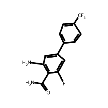 NC(=O)c1c(N)cc(-c2ccc(C(F)(F)F)cc2)cc1F